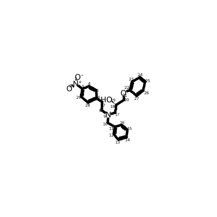 O=[N+]([O-])c1ccc(CCN(Cc2ccccc2)C[C@H](O)COc2ccccc2)cc1